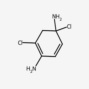 NC1=C(Cl)CC(N)(Cl)C=C1